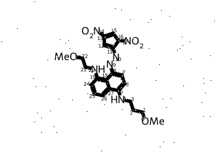 COCCCNc1ccc(N=NC2=CC([N+](=O)[O-])=CC2[N+](=O)[O-])c2c(NCCOC)cccc12